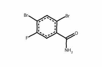 NC(=O)c1cc(F)c(Br)cc1Br